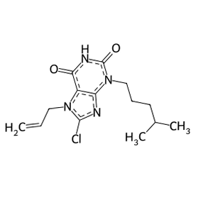 C=CCn1c(Cl)nc2c1c(=O)[nH]c(=O)n2CCCC(C)C